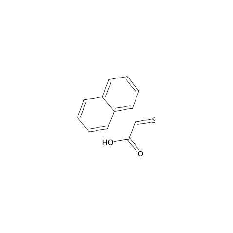 O=C(O)C=S.c1ccc2ccccc2c1